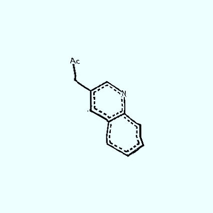 CC(=O)Cc1[c]c2ccccc2nc1